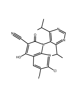 CC(C)c1ncnc(C(C)C)c1-n1c(=O)c(C#N)c(O)c2cc(F)c(Cl)nc21